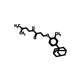 Cc1cc(C23CC4CC(CC(C4)C2)C3)ccc1OCCC(=O)NCCN(C)C